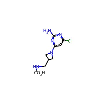 Nc1nc(Cl)cc(N2CC(CNC(=O)O)C2)n1